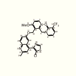 COc1ccnc(Cn2cccc(C(F)(F)F)c2=O)c1COc1ccc2nc(C)cc(-c3ncsc3Cl)c2c1